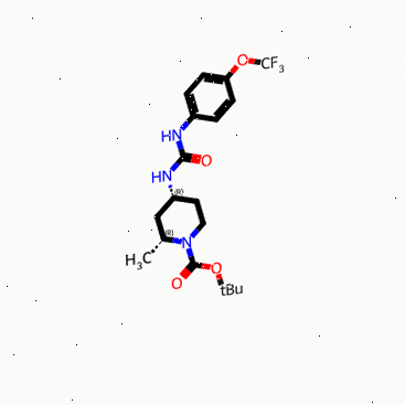 C[C@@H]1C[C@H](NC(=O)Nc2ccc(OC(F)(F)F)cc2)CCN1C(=O)OC(C)(C)C